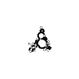 CCO[C@@]1(CN2CCN3CCOC[C@@H]3C2)/C=C/C[C@H](C)[C@@H](CC2CCC2)S(=O)(=O)NC(=O)c2ccc3c(c2)N(CCCCc2cc(Cl)ccc2CO3)C[C@@H]2CC[C@H]21